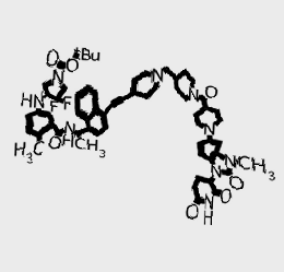 Cc1ccc(N[C@H]2CN(C(=O)OC(C)(C)C)CC2(F)F)cc1C(=O)N[C@H](C)c1ccc(C#CC2CCN(CC3CCN(C(=O)C4CCN(c5ccc6c(c5)n(C)c(=O)n6C5CCC(=O)NC5=O)CC4)CC3)CC2)c2ccccc12